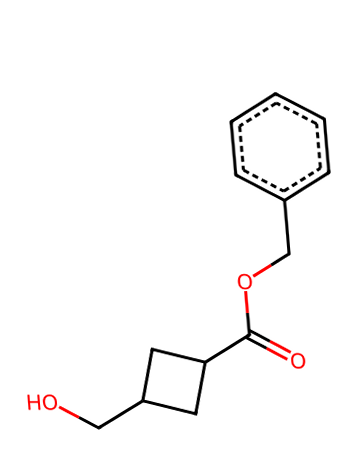 O=C(OCc1ccccc1)C1CC(CO)C1